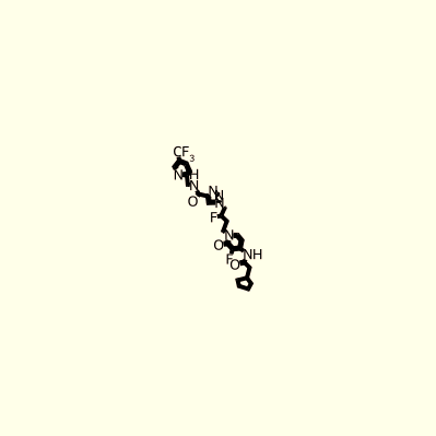 O=C(CC1CCCC1)Nc1ccn(CCC(F)Cn2cc(C(=O)NCc3ccc(C(F)(F)F)cn3)nn2)c(=O)c1F